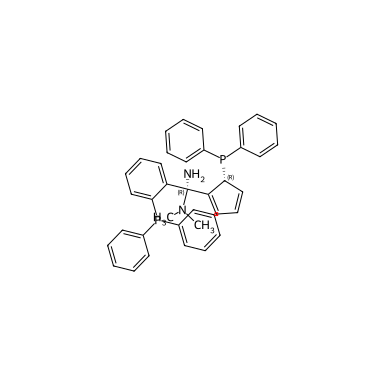 CN(C)[C@](N)(C1=CC=C[C@H]1P(c1ccccc1)c1ccccc1)c1ccccc1P(c1ccccc1)c1ccccc1